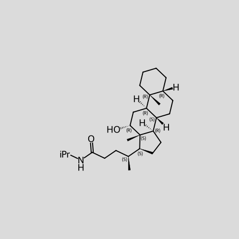 CC(C)NC(=O)CC[C@H](C)[C@@H]1CC[C@@H]2[C@H]3CC[C@H]4CCCC[C@@]4(C)[C@@H]3C[C@@H](O)[C@]21C